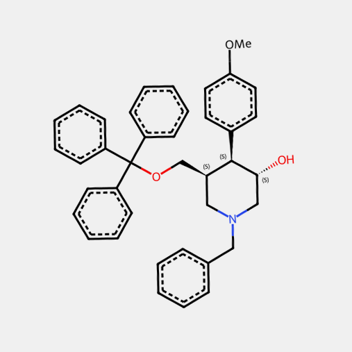 COc1ccc([C@@H]2[C@H](COC(c3ccccc3)(c3ccccc3)c3ccccc3)CN(Cc3ccccc3)C[C@H]2O)cc1